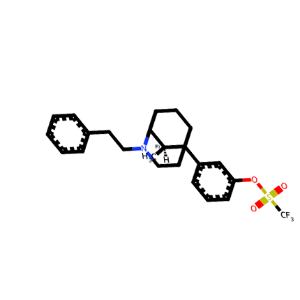 C[C@H]1C2CCCC1(c1cccc(OS(=O)(=O)C(F)(F)F)c1)CCN2CCc1ccccc1